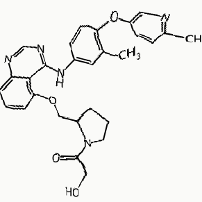 Cc1ccc(Oc2ccc(Nc3ncnc4cccc(OCC5CCCN5C(=O)CO)c34)cc2C)cn1